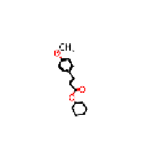 COc1ccc(/C=C/C(=O)OC2CCCCC2)cc1